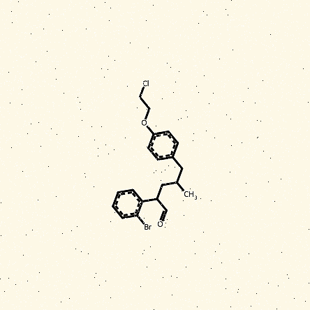 CC(Cc1ccc(OCCCl)cc1)CC(C=O)c1ccccc1Br